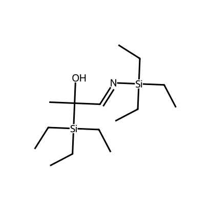 CC[Si](CC)(CC)N=CC(C)(O)[Si](CC)(CC)CC